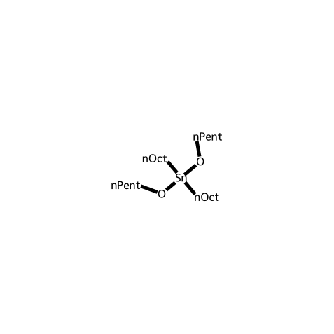 CCCCCCC[CH2][Sn]([CH2]CCCCCCC)([O]CCCCC)[O]CCCCC